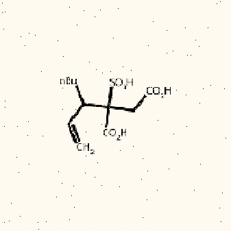 C=CC(CCCC)C(CC(=O)O)(C(=O)O)S(=O)(=O)O